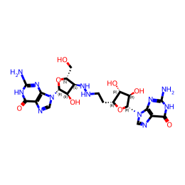 Nc1nc2c(ncn2[C@@H]2O[C@H](CCNN[C@H]3[C@@H](O)[C@H](n4cnc5c(=O)[nH]c(N)nc54)O[C@@H]3CO)[C@H](O)[C@H]2O)c(=O)[nH]1